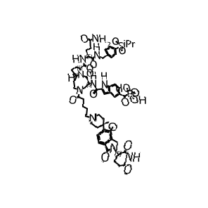 CC(C)S(=O)(=O)c1ccc(CNC(=O)[C@H](CCC(N)=O)NC(=O)[C@@H]2CC[C@@H]3CCN(C(=O)CCCCN4CCC5(CC4)COc4c5ccc5c4CN([C@H]4CCC(=O)NC4=O)C5=O)C[C@H](NC(=O)c4cc5cc(C(=O)P(=O)(O)O)ccc5[nH]4)C(=O)N32)cc1